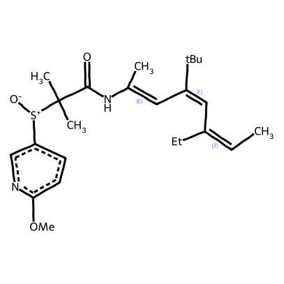 C\C=C(/C=C(\C=C(/C)NC(=O)C(C)(C)[S+]([O-])c1ccc(OC)nc1)C(C)(C)C)CC